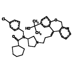 CC(C)(O)c1ccc2c(c1)C(=CCCN1CCC(N(Cc3ccc(Cl)cc3)C(=O)C3CCCCC3)C1)c1cccnc1CO2